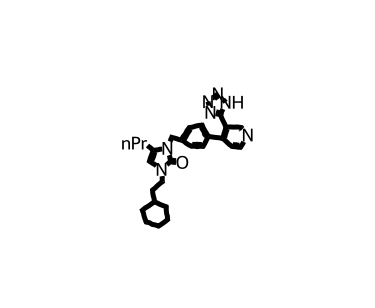 CCCc1cn(CCC2CCCCC2)c(=O)n1Cc1ccc(-c2ccncc2-c2nnn[nH]2)cc1